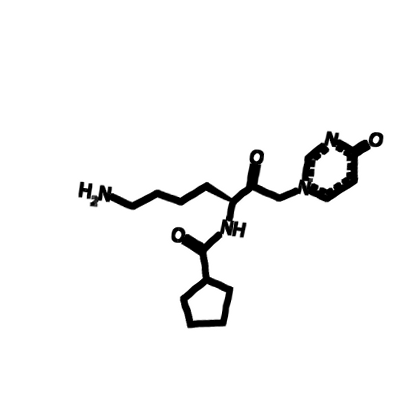 NCCCC[C@H](NC(=O)C1CCCC1)C(=O)Cn1ccc(=O)nc1